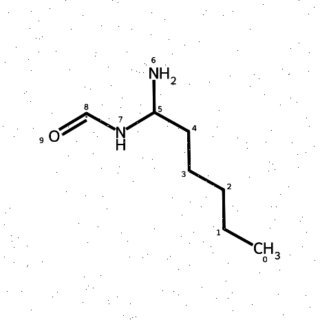 CCCCCC(N)N[C]=O